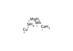 [Cu].[GaH3].[MgH2].[Mn].[SiH4]